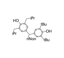 CCCCCCCCCC(c1cc(CC(C)C)c(O)c(CC(C)C)c1)c1cc(C(C)(C)C)c(O)c(C(C)(C)C)c1